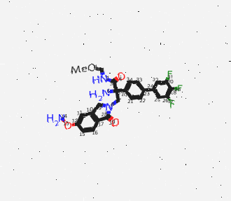 COCNC(=O)C(N)(CN1Cc2cc(ON)ccc2C1=O)c1ccc(-c2cc(F)c(F)c(F)c2)cc1